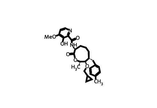 COc1ccnc(C(=O)N[C@H]2CCC[C@H](Cc3ccc(C)cc3)[C@@H](OCC3CC3)[C@H](C)OC2=O)c1O